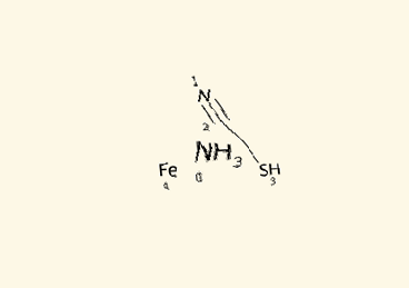 N.N#CS.[Fe]